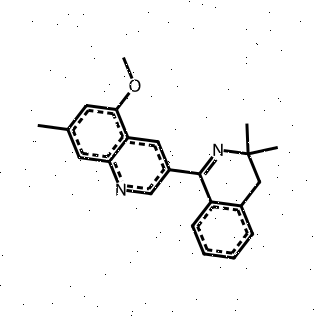 COc1cc(C)cc2ncc(C3=NC(C)(C)Cc4ccccc43)cc12